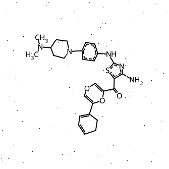 CN(C)C1CCN(c2ccc(Nc3nc(N)c(C(=O)C4=COC=C(C5=CC=CCC5)O4)s3)cc2)CC1